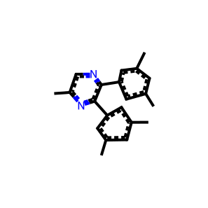 Cc1cc(C)cc(-c2ncc(C)nc2-c2cc(C)cc(C)c2)c1